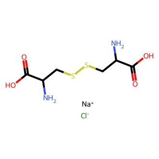 NC(CSSCC(N)C(=O)O)C(=O)O.[Cl-].[Na+]